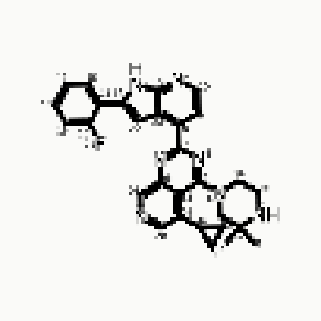 CC1(C)CN(c2nc(-c3ccnc4[nH]c(-c5ccccc5F)cc34)nc3cncc(C4CC4)c23)CCN1